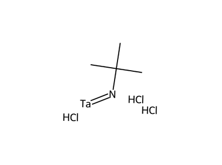 CC(C)(C)[N]=[Ta].Cl.Cl.Cl